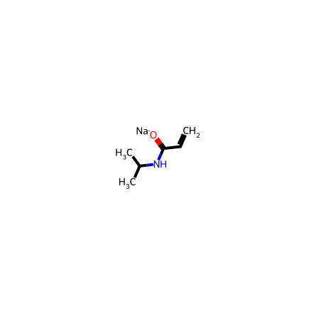 C=CC(=O)NC(C)C.[Na]